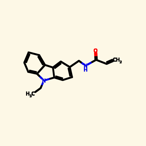 C=CC(=O)NCc1ccc2c(c1)c1ccccc1n2CC